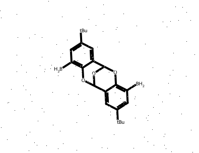 Bc1cc(C(C)(C)C)cc2c1OC1OC2Oc2c(B)cc(C(C)(C)C)cc21